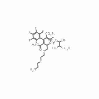 CCOC(=O)C1=C(C)NC(COCCOCCN)C(C(=O)OC)=C1c1c(F)c(F)c(F)c(F)c1F.O=C(O)C(O)C(O)C(=O)O